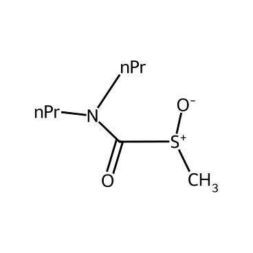 CCCN(CCC)C(=O)[S+](C)[O-]